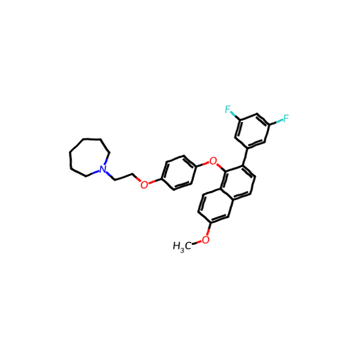 COc1ccc2c(Oc3ccc(OCCN4CCCCCC4)cc3)c(-c3cc(F)cc(F)c3)ccc2c1